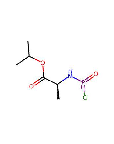 CC(C)OC(=O)[C@H](C)N[PH](=O)Cl